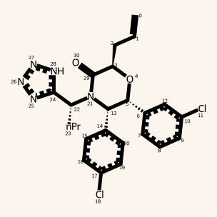 C=CC[C@H]1O[C@H](c2cccc(Cl)c2)[C@H](c2ccc(Cl)cc2)N([C@H](CCC)c2nnn[nH]2)C1=O